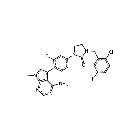 Cn1cc(-c2ccc(N3CCN(Cc4cc(F)ccc4Cl)C3=O)cc2F)c2c(N)ncnc21